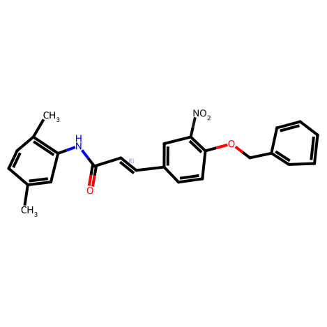 Cc1ccc(C)c(NC(=O)/C=C/c2ccc(OCc3ccccc3)c([N+](=O)[O-])c2)c1